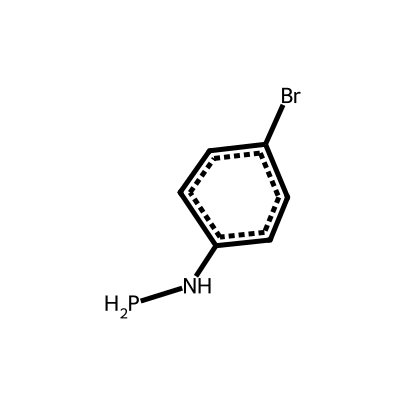 PNc1ccc(Br)cc1